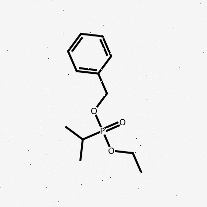 CCOP(=O)(OCc1ccccc1)C(C)C